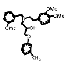 COc1cccc(CN(CCc2ccc(OC)c(OC)c2)CC(O)COc2cccc(C)c2)c1